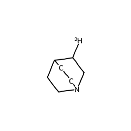 [2H]C1CN2CCC1CC2